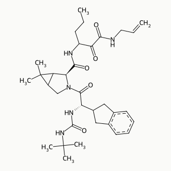 C=CCNC(=O)C(=O)C(CCC)NC(=O)[C@@H]1C2C(CN1C(=O)[C@@H](NC(=O)NC(C)(C)C)C1Cc3ccccc3C1)C2(C)C